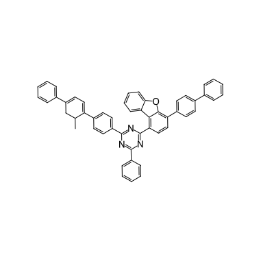 CC1CC(c2ccccc2)=CC=C1c1ccc(-c2nc(-c3ccccc3)nc(-c3ccc(-c4ccc(-c5ccccc5)cc4)c4oc5ccccc5c34)n2)cc1